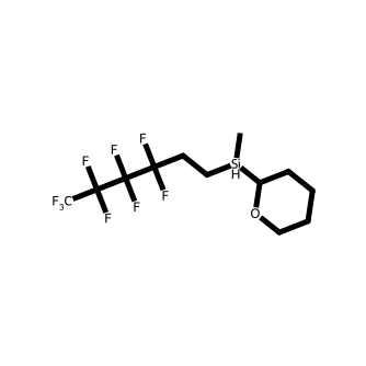 C[SiH](CCC(F)(F)C(F)(F)C(F)(F)C(F)(F)F)C1CCCCO1